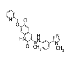 C[C@H](Nc1cccc(-c2cncn2C)c1)c1cc2cc(Cl)c(OCc3ccccn3)cc2[nH]c1=O